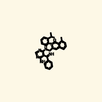 Cc1cccc2cc(CNc3ncnc(N)c3C(=N)c3ccccc3)n(-c3ccccc3C(C)C)c(=O)c12